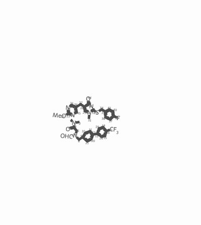 CN(C)C(=O)CN(C=O)Cc1ccc(-c2ccc(C(F)(F)F)cc2)cc1.COc1ncc(Cc2cn(C)c(SCc3ccc(F)cc3)nc2=O)cn1